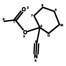 CC(=O)OC1(C#N)CCCCC1